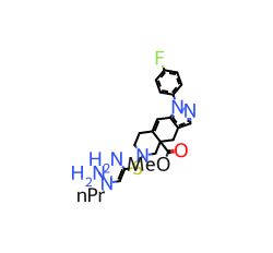 CCCN(N)/C=C(\N)SN1CCC2=Cc3c(cnn3-c3ccc(F)cc3)CC2(C(=O)OC)C1